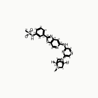 CN1C[C@@H]2C[C@H]1CN2c1cncc(Nc2cc3nc(-c4cccc(NS(C)(=O)=O)c4)sc3cn2)n1